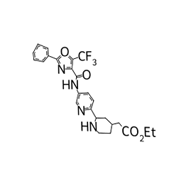 CCOC(=O)CC1CCNC(c2ccc(NC(=O)c3nc(-c4ccccc4)oc3C(F)(F)F)cn2)C1